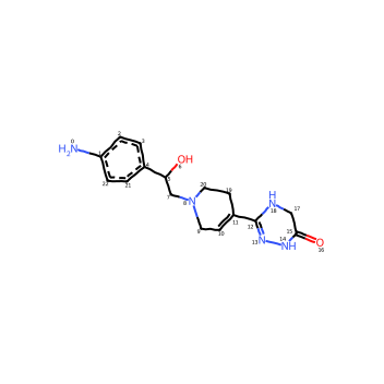 Nc1ccc(C(O)CN2CC=C(C3=NNC(=O)CN3)CC2)cc1